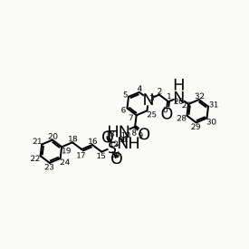 O=C(CN1C=CC=C(C(=O)NNS(=O)(=O)CC=CCc2ccccc2)C1)Nc1ccccc1